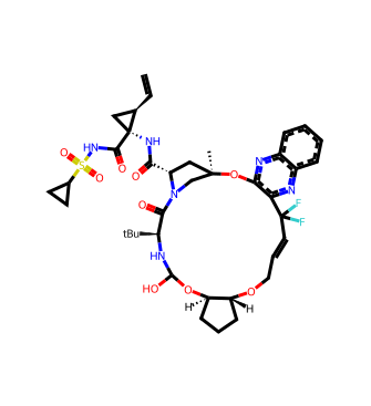 C=C[C@@H]1C[C@]1(NC(=O)[C@@H]1C[C@]2(C)CN1C(=O)[C@H](C(C)(C)C)NC(O)O[C@@H]1CCC[C@H]1OC/C=C/C(F)(F)c1nc3ccccc3nc1O2)C(=O)NS(=O)(=O)C1CC1